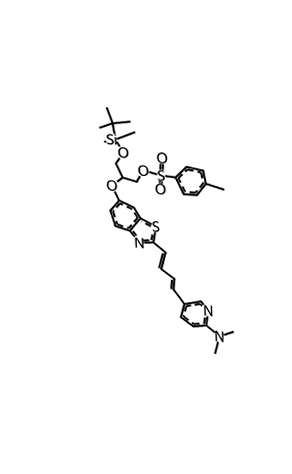 Cc1ccc(S(=O)(=O)OCC(CO[Si](C)(C)C(C)(C)C)Oc2ccc3nc(/C=C/C=C/c4ccc(N(C)C)nc4)sc3c2)cc1